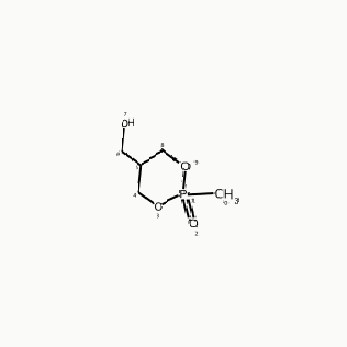 CP1(=O)OCC(CO)CO1